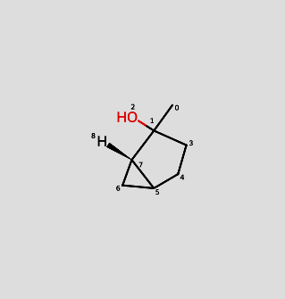 CC1(O)CCC2C[C@@H]21